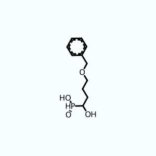 O=[PH](O)C(O)CCCOCc1ccccc1